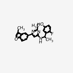 Cc1nc(NC(C)c2cc(O)ccc2F)cc(-c2ccc3occ(C)c3c2)n1